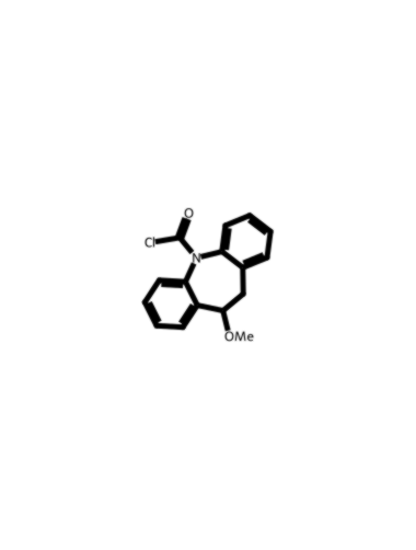 COC1Cc2ccccc2N(C(=O)Cl)c2ccccc21